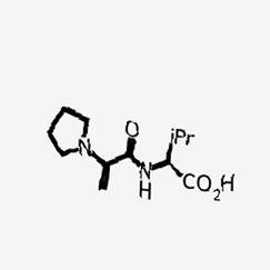 C=C(C(=O)N[C@H](C(=O)O)C(C)C)N1CCCC1